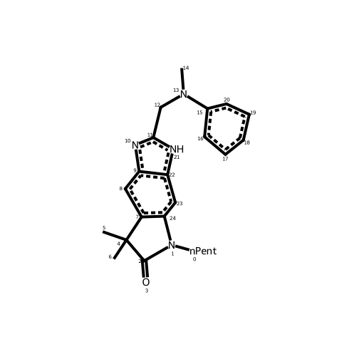 CCCCCN1C(=O)C(C)(C)c2cc3nc(CN(C)c4ccccc4)[nH]c3cc21